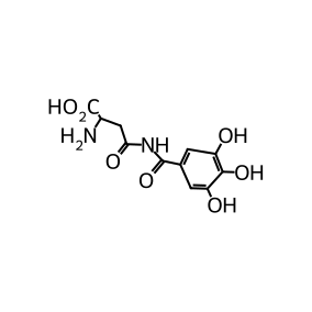 NC(CC(=O)NC(=O)c1cc(O)c(O)c(O)c1)C(=O)O